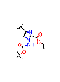 C=C(C)c1cn(NC(=O)OC(C)(C)C)c(C(=O)OCC)n1